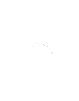 CCN1CCN(c2ccnc3c2ccn3Cc2ccc(C(=O)OC)cc2)CC1